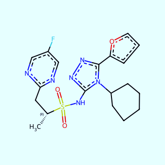 C[C@H](Cc1ncc(F)cn1)S(=O)(=O)Nc1nnc(-c2ccco2)n1C1CCCCC1